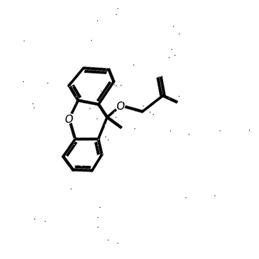 C=C(C)COC1(C)c2ccccc2Oc2ccccc21